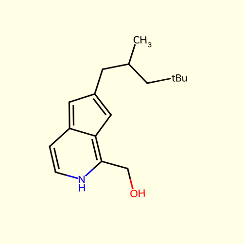 CC(Cc1cc2cc[nH]c(CO)c-2c1)CC(C)(C)C